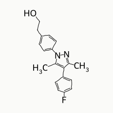 Cc1nn(-c2ccc(CCO)cc2)c(C)c1-c1ccc(F)cc1